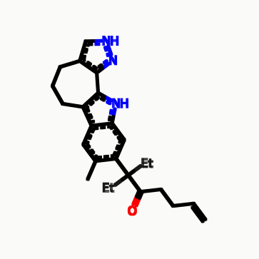 C=CCCC(=O)C(CC)(CC)c1cc2[nH]c3c(c2cc1C)CCCc1c[nH]nc1-3